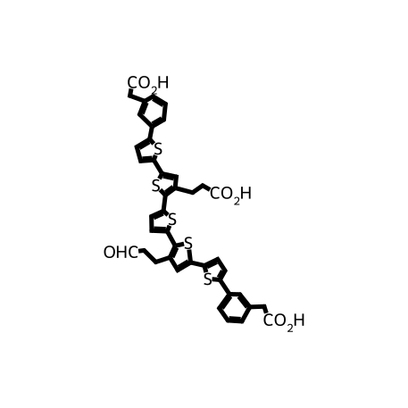 O=CCCc1cc(-c2ccc(-c3cccc(CC(=O)O)c3)s2)sc1-c1ccc(-c2sc(-c3ccc(-c4cccc(CC(=O)O)c4)s3)cc2CCC(=O)O)s1